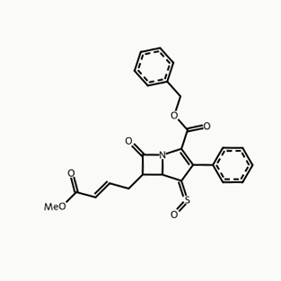 COC(=O)C=CCC1C(=O)N2C(C(=O)OCc3ccccc3)=C(c3ccccc3)C(=S=O)C12